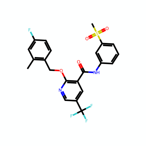 Cc1cc(F)ccc1COc1ncc(C(F)(F)F)cc1C(=O)Nc1cccc(S(C)(=O)=O)c1